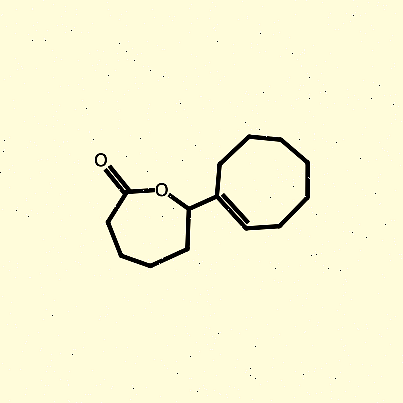 O=C1CCCCC(/C2=C/CCCCCC2)O1